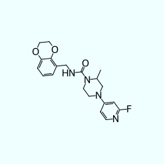 CC1CN(c2ccnc(F)c2)CCN1C(=O)NCc1cccc2c1OCCO2